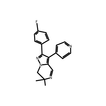 CC1(C)Cn2nc(-c3ccc(F)cc3)c(-c3ccncc3)c2C=N1